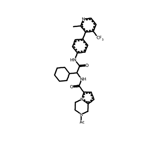 CC(=O)N1CCn2c(ccc2C(=O)NC(C(=O)Nc2ccc(-c3c(C(F)(F)F)ccnc3C)cc2)C2CCCCC2)C1